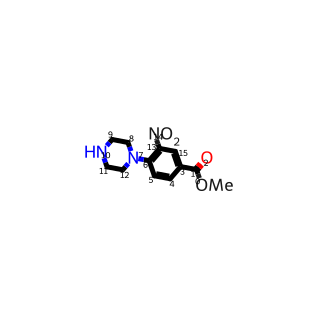 COC(=O)c1ccc(N2CCNCC2)c([N+](=O)[O-])c1